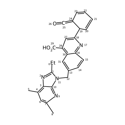 CCc1nc2c(C)cc(C)nc2n1Cc1ccc2nc(C3C=CC=CC3=C=O)cc(C(=O)O)c2c1